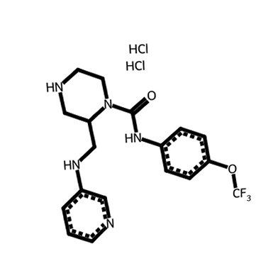 Cl.Cl.O=C(Nc1ccc(OC(F)(F)F)cc1)N1CCNCC1CNc1cccnc1